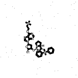 CC[C@H]1O[C@@H](n2cnc3c(OCC[Si](C)(C)C)ncnc32)CC1O[P@@]1O[C@H](C[Si](C)(c2ccccc2)c2ccccc2)[C@@H]2CCCN21